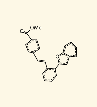 COC(=O)c1ccc(/C=C/c2ccccc2-c2cc3ccccc3o2)cc1